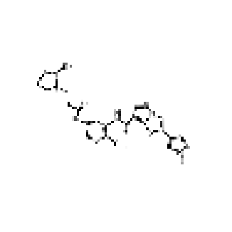 Cc1ncc(NC(=O)OC[C@@H]2CCCN2C(C)C)cc1NC(=O)c1cnn2cc(-c3cnn(C)c3)sc12